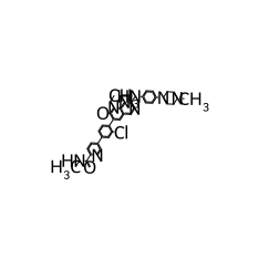 CCn1c(=O)c(-c2ccc(-c3ccc(C(=O)NC)nc3)cc2Cl)cc2cnc(Nc3ccc(N4CCN(C)CC4)cc3)nc21